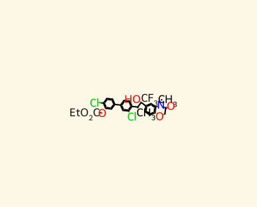 CCOC(=O)Oc1cc(-c2ccc(C(C)C(O)(c3ccc4c(c3)N(C)C(=O)CO4)C(F)(F)F)c(Cl)c2)ccc1Cl